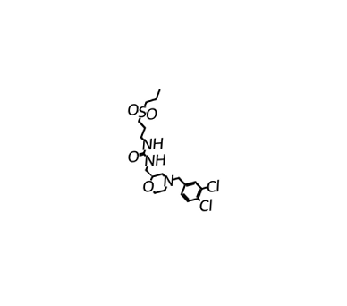 CCCS(=O)(=O)CCCNC(=O)NC[C@H]1CN(Cc2ccc(Cl)c(Cl)c2)CCO1